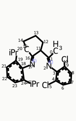 C/C(=N\c1c(Cl)cccc1Cl)C1CCCC/C1=N\c1c(C(C)C)cccc1C(C)C